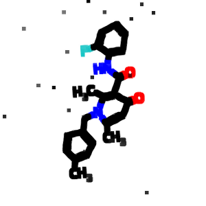 Cc1ccc(Cn2c(C)cc(=O)c(C(=O)Nc3ccccc3F)c2C)cc1